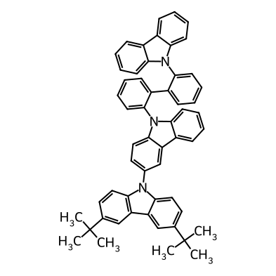 CC(C)(C)c1ccc2c(c1)c1cc(C(C)(C)C)ccc1n2-c1ccc2c(c1)c1ccccc1n2-c1ccccc1-c1ccccc1-n1c2ccccc2c2ccccc21